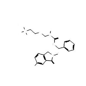 C[Si](C)(C)CCOCN(C=O)C(=O)N[C@@H](CN1Cc2ccc(F)cc2C1=O)c1ccccc1